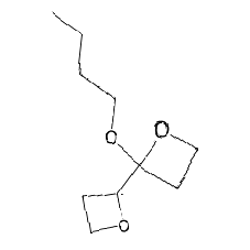 CCCCOC1([C]2CCO2)CCO1